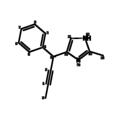 CC#C[C](c1ccccc1)c1c[nH]c(C)n1